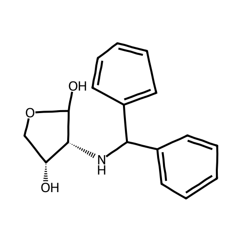 OC1OC[C@@H](O)[C@H]1NC(c1ccccc1)c1ccccc1